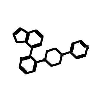 C1=Cc2cccc(-c3ncccc3N3CCN(c4ccncc4)CC3)c2C1